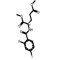 COC(=O)CC[C@@H](NC(=O)c1ccc(I)cc1F)C(=O)OC